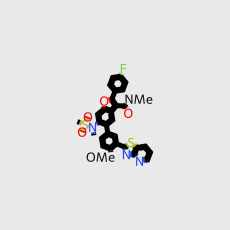 CNC(=O)c1c(-c2ccc(F)cc2)oc2cc(N(C)S(C)(=O)=O)c(-c3ccc(OC)c(-c4nc5ncccc5s4)c3)cc12